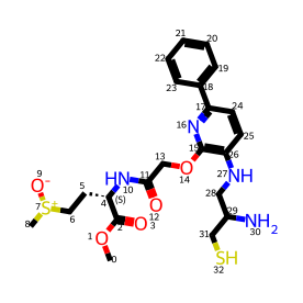 COC(=O)[C@H](CC[S+](C)[O-])NC(=O)COc1nc(-c2ccccc2)ccc1NCC(N)CS